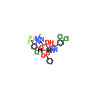 Cc1nc([C@@H]2O[C@@H]3CO[C@H](c4ccccc4)O[C@@H]3[C@H](n3cc(-c4ccc(Cl)c(Cl)c4)nn3)[C@H]2O)n(-c2cc(Cl)ccc2C(F)(F)F)n1